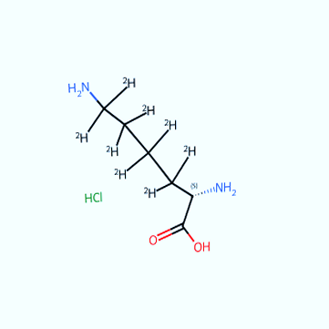 Cl.[2H]C([2H])(N)C([2H])([2H])C([2H])([2H])C([2H])([2H])[C@H](N)C(=O)O